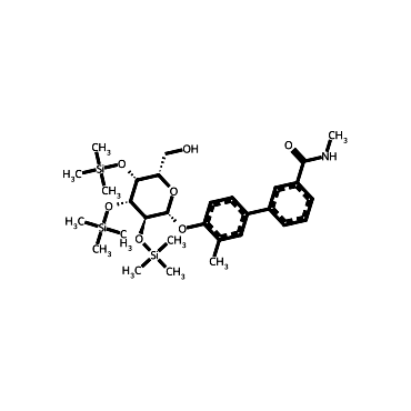 CNC(=O)c1cccc(-c2ccc(O[C@H]3O[C@@H](CO)[C@@H](O[Si](C)(C)C)[C@@H](O[Si](C)(C)C)[C@@H]3O[Si](C)(C)C)c(C)c2)c1